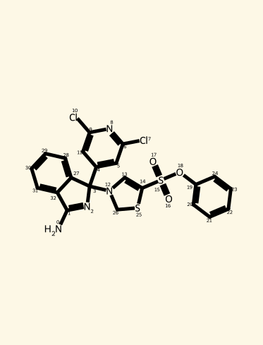 NC1=NC(c2cc(Cl)nc(Cl)c2)(N2C=C(S(=O)(=O)Oc3ccccc3)SC2)c2ccccc21